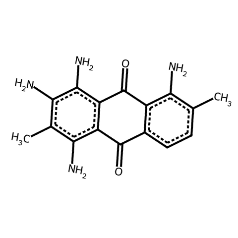 Cc1ccc2c(c1N)C(=O)c1c(N)c(N)c(C)c(N)c1C2=O